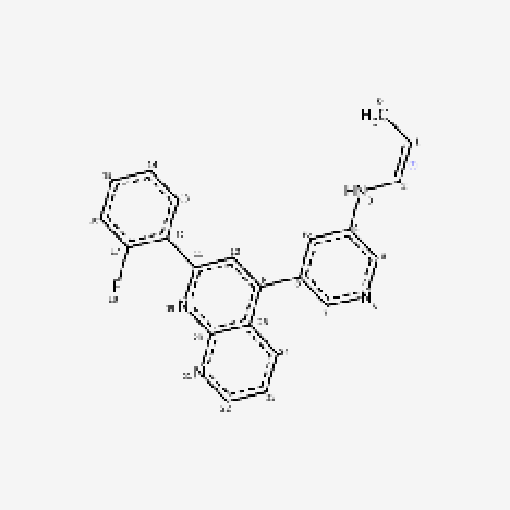 C/C=C\Nc1cncc(-c2cc(-c3ccccc3F)nc3ncccc23)c1